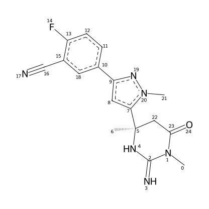 CN1C(=N)N[C@@](C)(c2cc(-c3ccc(F)c(C#N)c3)nn2C)CC1=O